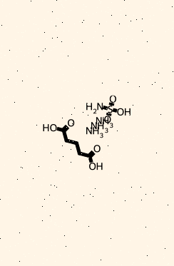 N.N.N.NS(=O)(=O)O.O=C(O)CCCC(=O)O